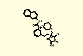 CN1C(=N)N[C@](CCc2ccccc2)(C[C@H]2CCC[C@@H](NC(=O)Nc3ccc4ccccc4c3)C2)C1=O